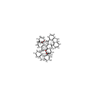 CCN(c1cccc2c1-c1ccccc1C2)c1ccc2ccccc2c1-c1c(N(CC)c2cccc3c2-c2ccccc2C3)ccc2ccccc12